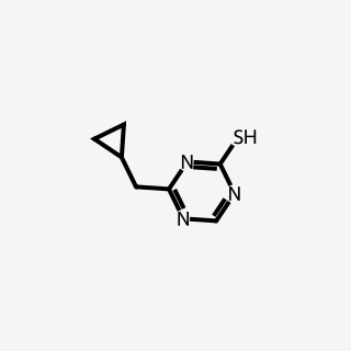 Sc1ncnc(CC2CC2)n1